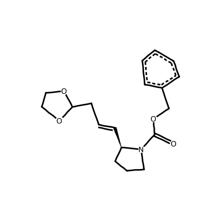 O=C(OCc1ccccc1)N1CCC[C@H]1C=CCC1OCCO1